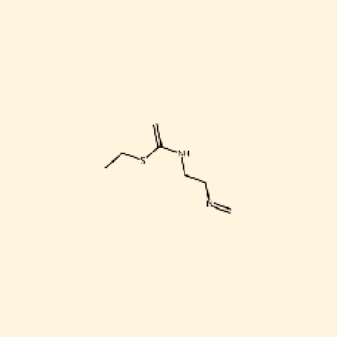 C=NCCNC(=C)SCC